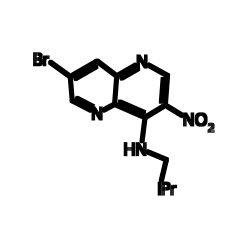 CC(C)CNc1c([N+](=O)[O-])cnc2cc(Br)cnc12